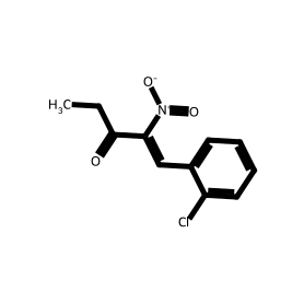 CCC(=O)C(=Cc1ccccc1Cl)[N+](=O)[O-]